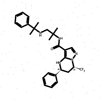 CC(C)(CNC(C)(C)c1ccccc1)NC(=O)c1cnn2c1N[C@@H](c1ccccc1)C[C@H]2C(F)(F)F